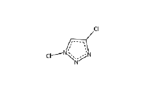 Clc1cn(Cl)nn1